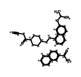 CC(C)Oc1ccc2ccnc(OCC3CCN(C(=O)CC#N)CC3)c2c1.NC(=O)c1ccc2ncccc2c1